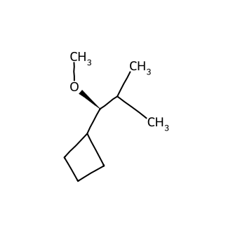 CO[C@@H](C(C)C)C1CCC1